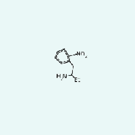 CCC(N)Cc1ccccc1[N+](=O)[O-]